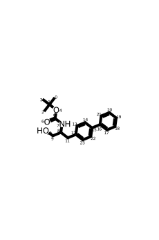 CC(C)(C)OC(=O)NC(CO)Cc1ccc(-c2ccccc2)cc1